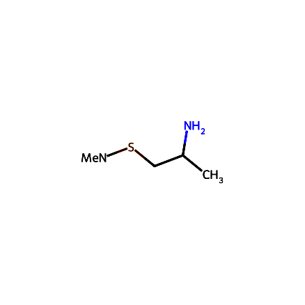 CNSCC(C)N